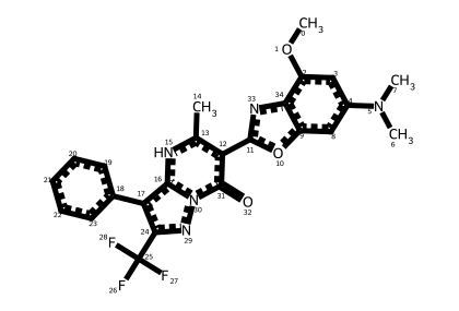 COc1cc(N(C)C)cc2oc(-c3c(C)[nH]c4c(-c5ccccc5)c(C(F)(F)F)nn4c3=O)nc12